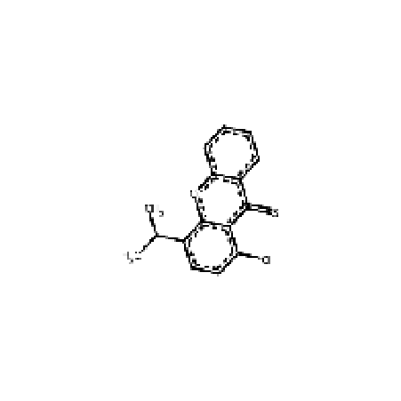 CC(C)c1ccc(Cl)c2c(=S)c3ccccc3oc12